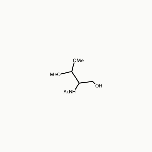 COC(OC)C(CO)NC(C)=O